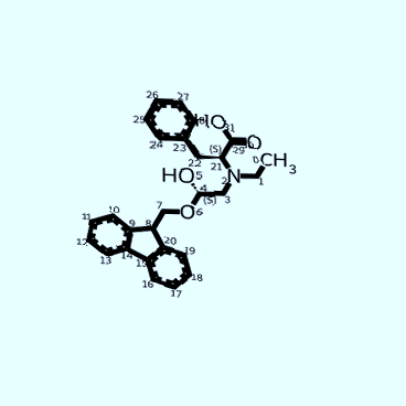 CCN(C[C@@H](O)OCC1c2ccccc2-c2ccccc21)[C@@H](Cc1ccccc1)C(=O)O